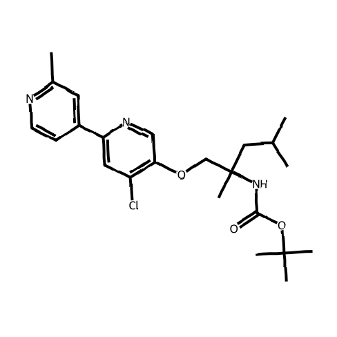 Cc1cc(-c2cc(Cl)c(OCC(C)(CC(C)C)NC(=O)OC(C)(C)C)cn2)ccn1